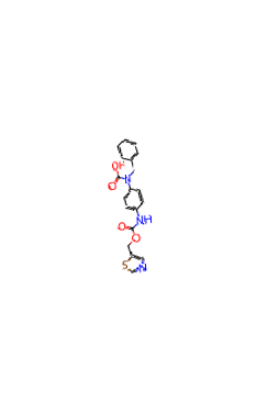 O=C(Nc1ccc(N(Cc2ccccc2)C(=O)O)cc1)OCc1cncs1